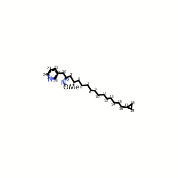 CON=C(CCCCCCCCCCCCCCC1CC1)Cc1cccnc1